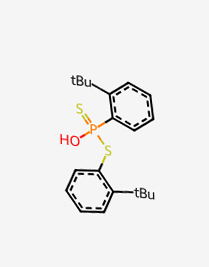 CC(C)(C)c1ccccc1SP(O)(=S)c1ccccc1C(C)(C)C